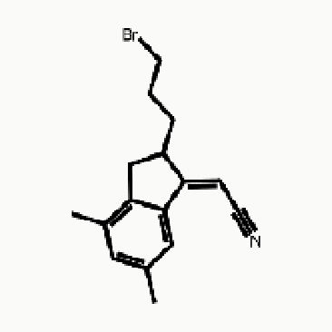 Cc1cc(C)c2c(c1)/C(=C\C#N)C(CCCBr)C2